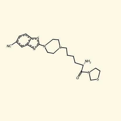 N#Cc1ccc2sc(N3CCN(CCCC[C@H](N)C(=O)N4CCSC4)CC3)nc2c1